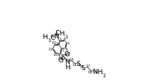 CN(C)c1cccc2c(S(=O)(=O)NCCSSCCN)cccc12